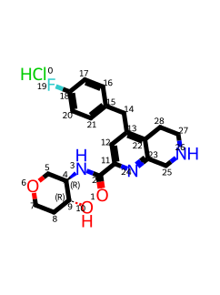 Cl.O=C(N[C@@H]1COCC[C@H]1O)c1cc(Cc2ccc(F)cc2)c2c(n1)CNCC2